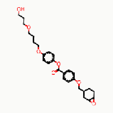 O=C(Oc1ccc(OCCCCOCCCO)cc1)c1ccc(OCC2CCC3OC3C2)cc1